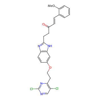 COc1ccccc1/C=C/C(=O)CCc1nc2ccc(OCCc3nc(Cl)ncc3Cl)cc2[nH]1